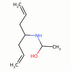 C=CCC(CC=C)NC(C)O